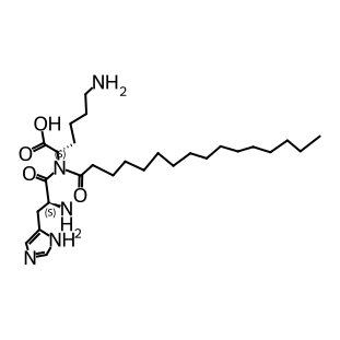 CCCCCCCCCCCCCCCC(=O)N(C(=O)[C@@H](N)Cc1cnc[nH]1)[C@@H](CCCCN)C(=O)O